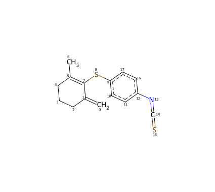 C=C1CCCC(C)=C1Sc1ccc(N=C=S)cc1